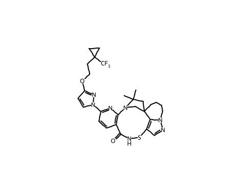 CC1(C)CC23CCCCn4ncc(c42)SNC(=O)c2ccc(-n4ccc(OCCC5(C(F)(F)F)CC5)n4)nc2N1C3